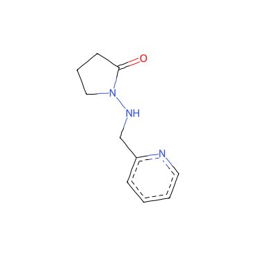 O=C1CCCN1NCc1ccccn1